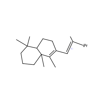 CC1=C(/C=C(\C)C(C)C)CCC2C(C)(C)CCCC12C